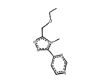 CCOCc1nnc(-c2ccncn2)n1C